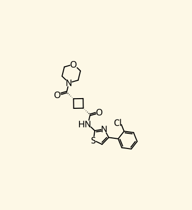 O=C(Nc1nc(-c2ccccc2Cl)cs1)[C@H]1C[C@@H](C(=O)N2CCOCC2)C1